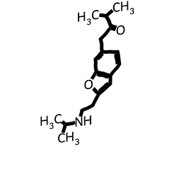 CC(C)NCCc1cc2ccc(CC(=O)C(C)C)cc2o1